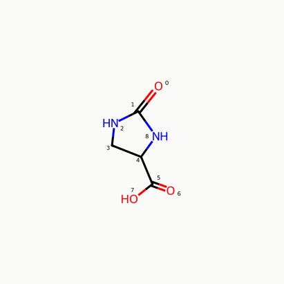 O=C1NCC(C(=O)O)N1